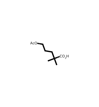 CC(=O)OCCCC(C)(C)C(=O)O